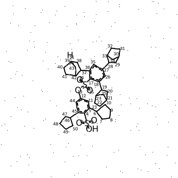 O=S(=O)(O)c1c(C2CCCC2)cc(OS(=O)(=O)c2c(C3CC4CCC3C4)cc(C3CC4CCC3C4)cc2C2C[C@@H]3CCC2C3)cc1C1CCCC1